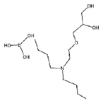 CCCCN(CCCC)CCOCC(O)CO.OB(O)O